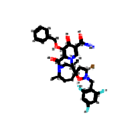 C[C@@H]1CC[C@]2(C[C@H](Br)N(Cc3c(F)cc(F)cc3F)O2)[C@H]2CN1C(=O)c1c(OCc3ccccc3)c(=O)c(C(N)=O)cn12